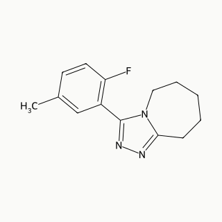 Cc1ccc(F)c(-c2nnc3n2CCCCC3)c1